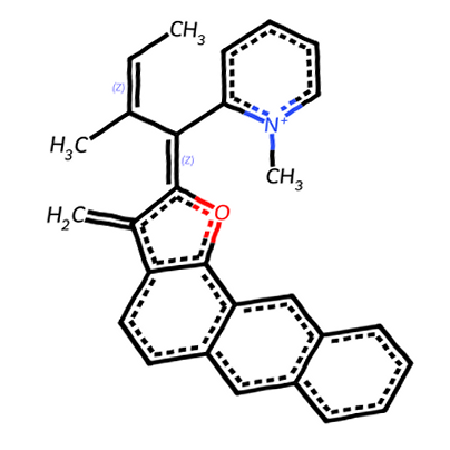 C=c1/c(=C(\C(C)=C/C)c2cccc[n+]2C)oc2c1ccc1cc3ccccc3cc12